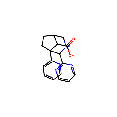 O=C(O)C1C2CCC1(c1ccccn1)C(c1ncccn1)NC2